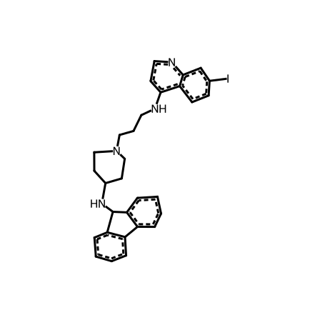 Ic1ccc2c(NCCCN3CCC(NC4c5ccccc5-c5ccccc54)CC3)ccnc2c1